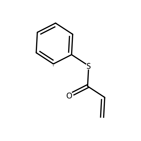 C=CC(=O)Sc1[c]cccc1